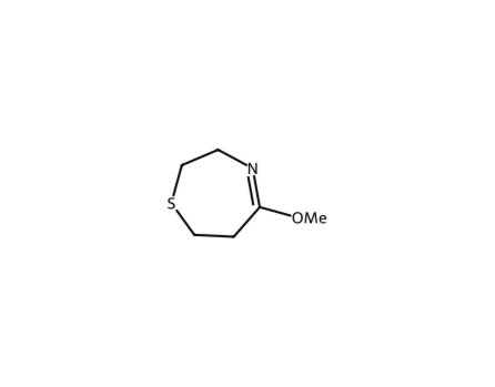 COC1=NCCSCC1